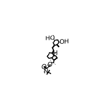 C=C1C(=CC=C2CCC[C@]3(C)C([C@H](C)OCC(=O)N(C)C(C)(C)C)=CC[C@@H]23)C[C@@H](O)C[C@@H]1O